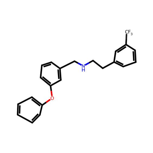 FC(F)(F)c1cccc(CCNCc2cccc(Oc3ccccc3)c2)c1